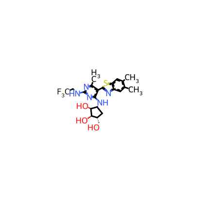 Cc1cc2nc(-c3c(C)nc(NCC(F)(F)F)nc3N[C@@H]3C[C@H](CO)[C@@H](O)[C@H]3O)sc2cc1C